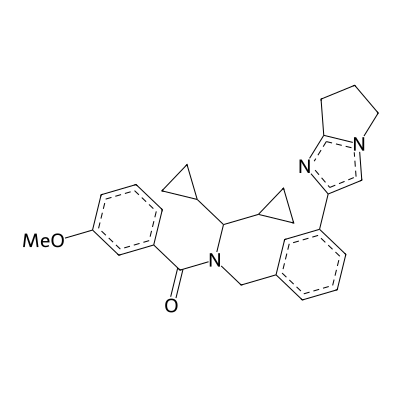 COc1cccc(C(=O)N(Cc2cccc(-c3cn4c(n3)CCC4)c2)C(C2CC2)C2CC2)c1